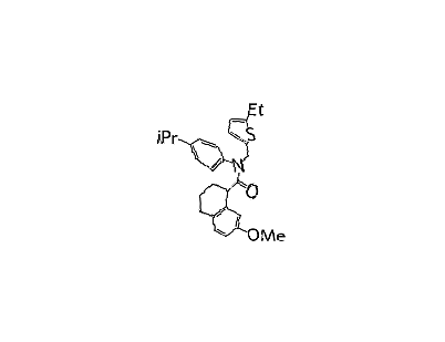 CCc1ccc(CN(C(=O)C2CCCc3ccc(OC)cc32)c2ccc(C(C)C)cc2)s1